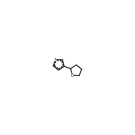 [c]1sccc1C1CCCO1